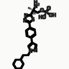 C[C@](N)(COP(=O)(O)O)c1nnc(-c2ccc(-c3cnn(CCC4CCCCC4)c3)cc2)s1